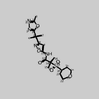 Cc1nnc(C(C)(C)c2cc(NC(=O)C(C)(C)S(=O)(=O)C3CCOCC3)on2)o1